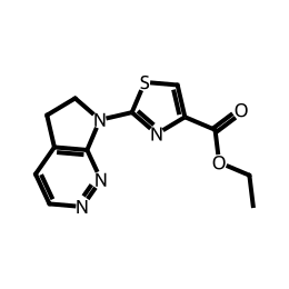 CCOC(=O)c1csc(N2CCc3ccnnc32)n1